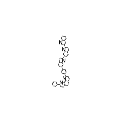 c1ccc(-c2ccc3ccc4ccc(-c5ccc(-c6ccc7ccc(-c8ccc9ccc(-c%10cnc%11ccccc%11c%10)nc9c8)nc7c6)cc5)nc4c3n2)cc1